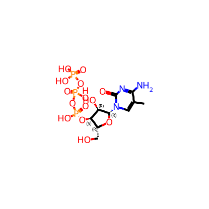 Cc1cn([C@@H]2O[C@H](CO)[C@@H](OP(=O)(O)OP(=O)(O)OP(=O)(O)O)[C@H]2O)c(=O)nc1N